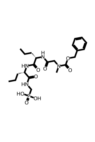 CCC[C@H](NC(=O)CN(C)C(=O)OCc1ccccc1)C(=O)N[C@@H](CCC)C(=O)NCP(=O)(O)O